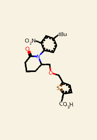 CC(C)(C)c1ccc(N2C(=O)CCCC2COCc2ccc(C(=O)O)s2)c([N+](=O)[O-])c1